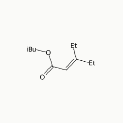 CCC(=CC(=O)OC(C)CC)CC